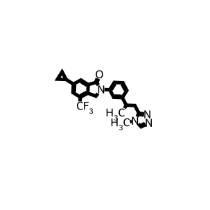 CC(Cc1nncn1C)c1cccc(N2Cc3c(cc(C4CC4)cc3C(F)(F)F)C2=O)c1